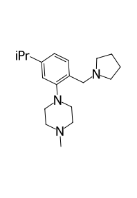 CC(C)c1ccc(CN2CCCC2)c(N2CCN(C)CC2)c1